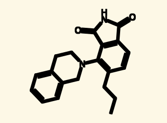 CCCc1ccc2c(c1N1CCc3ccccc3C1)C(=O)NC2=O